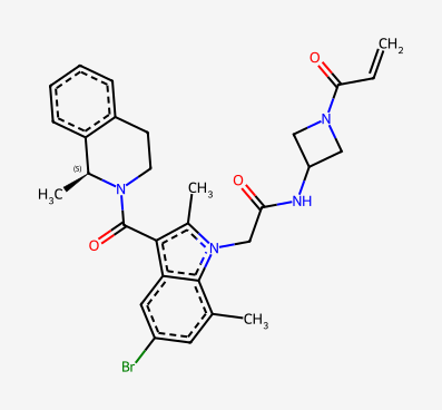 C=CC(=O)N1CC(NC(=O)Cn2c(C)c(C(=O)N3CCc4ccccc4[C@@H]3C)c3cc(Br)cc(C)c32)C1